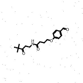 CC(C)(C)C(=O)CCNC(=O)CCCOc1ccc(C=O)cc1